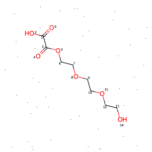 O=C(O)C(=O)OCCOCCOCCO